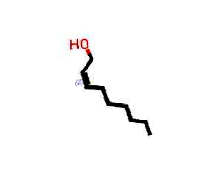 CCCCCC/C=C\CO